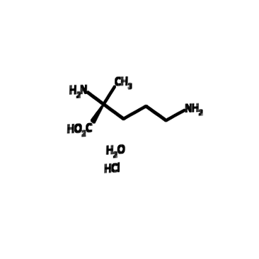 C[C@@](N)(CCCN)C(=O)O.Cl.O